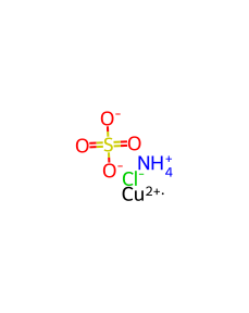 O=S(=O)([O-])[O-].[Cl-].[Cu+2].[NH4+]